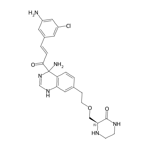 Nc1cc(Cl)cc(C=CC(=O)C2(N)N=CNc3cc(CCOC[C@@H]4NCCNC4=O)ccc32)c1